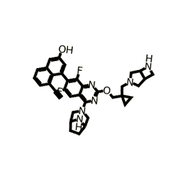 C#Cc1cccc2cc(O)cc(-c3c(F)cc4c(N5CC6CCC(C5)N6)nc(OCC5(CN6CC7CNC7C6)CC5)nc4c3F)c12